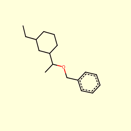 CCC1CCCC(C(C)OCc2ccccc2)C1